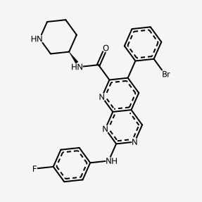 O=C(N[C@@H]1CCCNC1)c1nc2nc(Nc3ccc(F)cc3)ncc2cc1-c1ccccc1Br